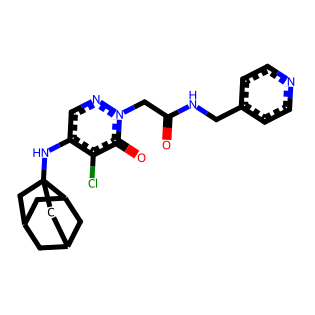 O=C(Cn1ncc(NC23CC4CC(CC2C4)C3)c(Cl)c1=O)NCc1ccncc1